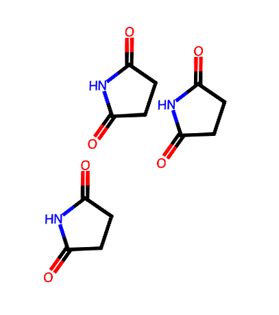 O=C1CCC(=O)N1.O=C1CCC(=O)N1.O=C1CCC(=O)N1